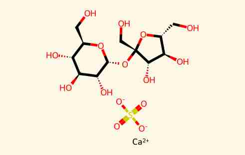 O=S(=O)([O-])[O-].OC[C@H]1O[C@@](CO)(O[C@H]2O[C@H](CO)[C@@H](O)[C@H](O)[C@H]2O)[C@@H](O)[C@@H]1O.[Ca+2]